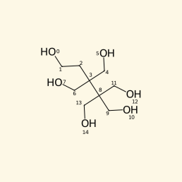 OCCC(CO)(CO)C(CO)(CO)CO